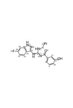 CC(C)CN/C(=N\C(=O)c1cccc(O)c1)Nc1n[nH]c2cc(F)ccc12